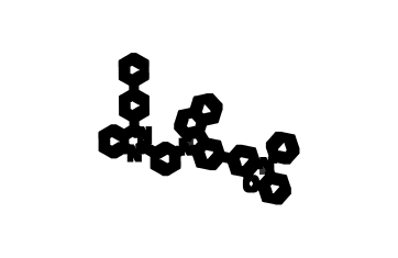 c1ccc(-c2ccc(-c3nc(-c4cccc(-n5c6ccc(-c7ccc8c(c7)Oc7ccccc7N8c7ccccc7)cc6c6c7ccccc7ccc65)c4)nc4ccccc34)cc2)cc1